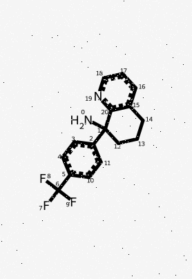 NC1(c2ccc(C(F)(F)F)cc2)CCCc2cccnc21